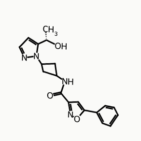 C[C@H](O)c1ccnn1C1CC(NC(=O)c2cc(-c3ccccc3)on2)C1